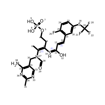 C/C(=C(CCOP(=O)(O)O)/[SH]=C(O)\C=C\c1cc(SC(F)(F)F)ccc1F)N(C=O)Cc1cnc(C)nc1N